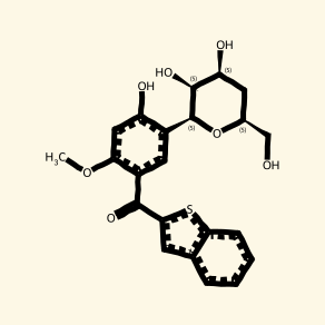 COc1cc(O)c([C@@H]2O[C@H](CO)C[C@H](O)[C@@H]2O)cc1C(=O)c1cc2ccccc2s1